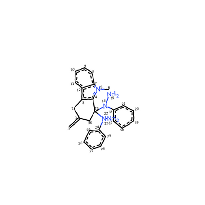 C=C1Cc2c(n(C)c3ccccc23)C(N(N)c2ccccc2)(N(N)c2ccccc2)C1